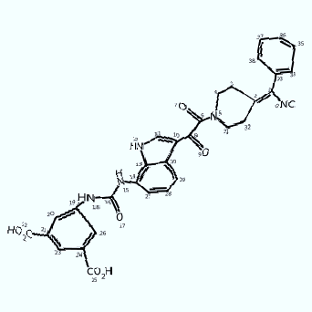 [C-]#[N+]C(=C1CCN(C(=O)C(=O)c2c[nH]c3c(NC(=O)Nc4cc(C(=O)O)cc(C(=O)O)c4)cccc23)CC1)c1ccccc1